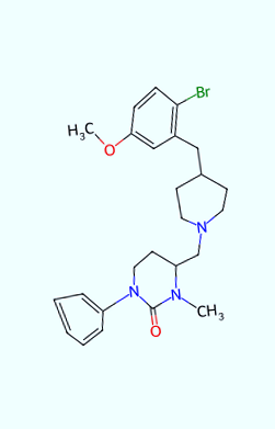 COc1ccc(Br)c(CC2CCN(CC3CCN(c4ccccc4)C(=O)N3C)CC2)c1